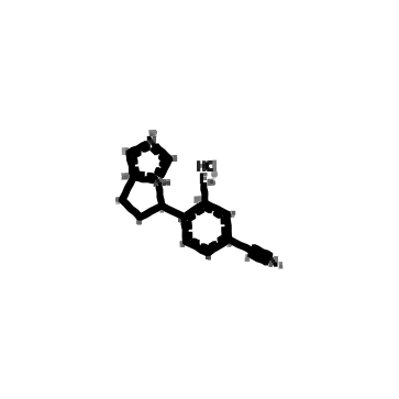 Cl.N#Cc1ccc(C2CCc3cncn32)c(F)c1